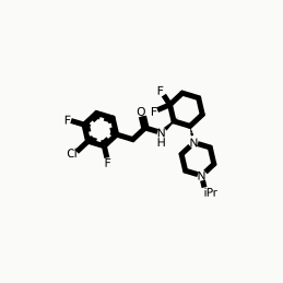 CC(C)N1CCN([C@H]2CCCC(F)(F)[C@@H]2NC(=O)Cc2ccc(F)c(Cl)c2F)CC1